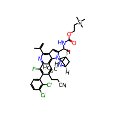 C=C(C)c1nc2c(F)c(-c3cccc(Cl)c3Cl)c(CCC#N)cc2c2c1cc(C(C)NC(=O)OCC[Si](C)(C)C)n2[C@H]1[C@@H]2C[C@H]1N(C(=O)O)C2